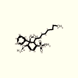 CCCCCCCCC1C(S(N)(=O)=O)=CC=C(OC)C1(OC)c1cccnc1